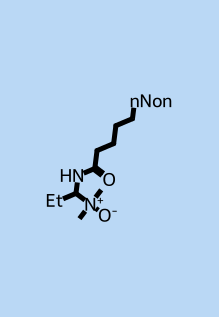 CCCCCCCCCCCCCC(=O)NC(CC)[N+](C)(C)[O-]